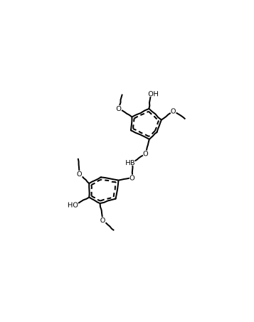 COc1cc(OBOc2cc(OC)c(O)c(OC)c2)cc(OC)c1O